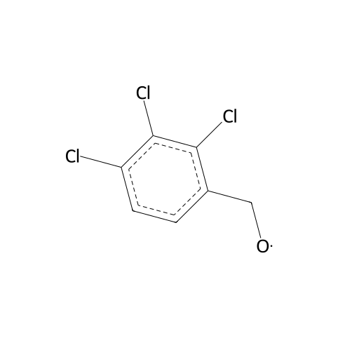 [O]Cc1ccc(Cl)c(Cl)c1Cl